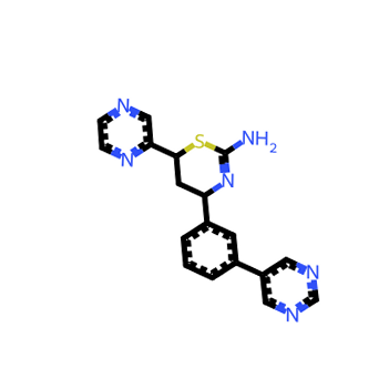 NC1=NC(c2cccc(-c3cncnc3)c2)CC(c2cnccn2)S1